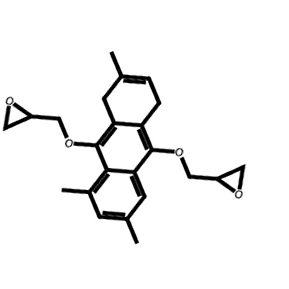 CC1=CCc2c(c(OCC3CO3)c3c(C)cc(C)cc3c2OCC2CO2)C1